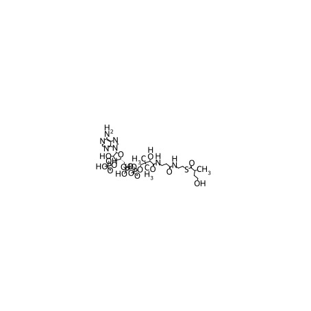 CC(CCO)C(=O)SCCNC(=O)CCNC(=O)[C@H](O)C(C)(C)COP(=O)(O)OP(=O)(O)OC[C@H]1O[C@@H](n2cnc3c(N)ncnc32)[C@H](O)[C@@H]1OP(=O)(O)O